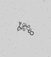 N#C[C@@H]1CSCN1C(=O)[C@H]1CCCN1C(=O)Cc1cc2ccccc2o1